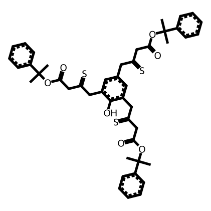 CC(C)(OC(=O)CC(=S)Cc1cc(CC(=S)CC(=O)OC(C)(C)c2ccccc2)c(O)c(CC(=S)CC(=O)OC(C)(C)c2ccccc2)c1)c1ccccc1